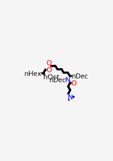 CCCCCCCCCCC(CCCCCC(=O)OCC(CCCCCC)CCCCCCCC)N(CCCCCCCCCC)C(=O)CCCN(C)C